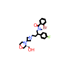 CN(CC(CCN1CC(N2CCOC[C@H]2CO)C1)c1ccc(F)cc1)C(=O)c1ccccc1Br